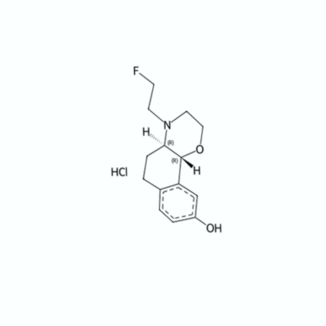 Cl.Oc1ccc2c(c1)[C@H]1OCCN(CCF)[C@@H]1CC2